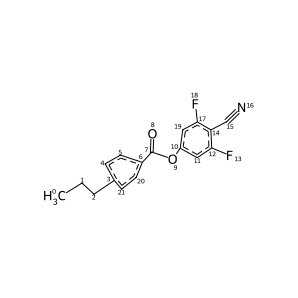 CCCc1ccc(C(=O)Oc2cc(F)c(C#N)c(F)c2)cc1